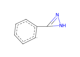 [c]1ccccc1C1=NN1